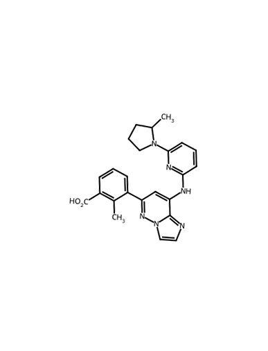 Cc1c(C(=O)O)cccc1-c1cc(Nc2cccc(N3CCCC3C)n2)c2nccn2n1